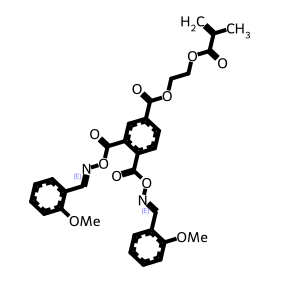 C=C(C)C(=O)OCCOC(=O)c1ccc(C(=O)O/N=C/c2ccccc2OC)c(C(=O)O/N=C/c2ccccc2OC)c1